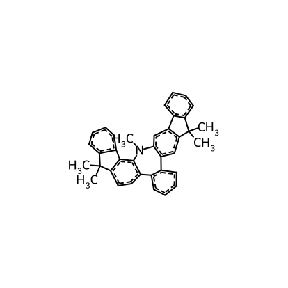 CN1c2cc3c(cc2-c2ccccc2-c2ccc4c(c21)-c1ccccc1C4(C)C)C(C)(C)c1ccccc1-3